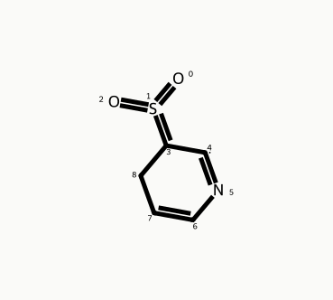 O=S(=O)=C1[C]=NC=CC1